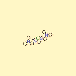 Cc1cc2c(N(c3ccccc3)c3ccccc3)cccc2n1-c1cccc(-n2c(C)cc3c(N(c4ccccc4)c4ccccc4)cccc32)c1Cl